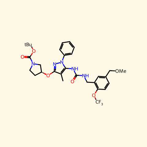 COCc1ccc(OC(F)(F)F)c(CNC(=O)Nc2c(C)c(O[C@H]3CCN(C(=O)OC(C)(C)C)C3)nn2-c2ccccc2)c1